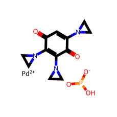 O=C1C=C(N2CC2)C(=O)C(N2CC2)=C1N1CC1.[O-]P([O-])O.[Pd+2]